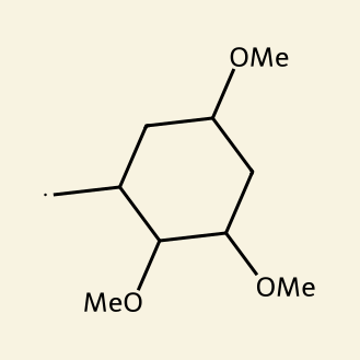 [CH2]C1CC(OC)CC(OC)C1OC